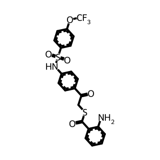 Nc1ccccc1C(=O)SCC(=O)c1ccc(NS(=O)(=O)c2ccc(OC(F)(F)F)cc2)cc1